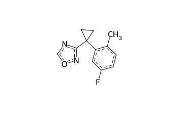 Cc1ccc(F)cc1C1(c2ncon2)CC1